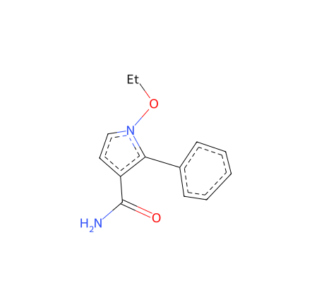 CCOn1ccc(C(N)=O)c1-c1ccccc1